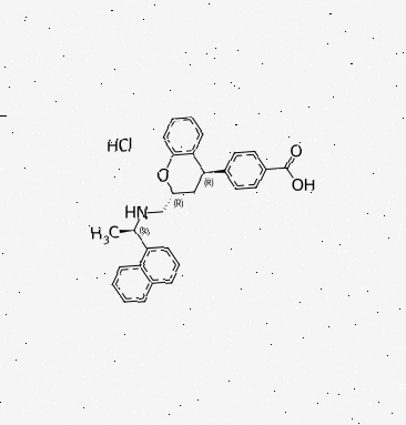 C[C@@H](NC[C@H]1C[C@H](c2ccc(C(=O)O)cc2)c2ccccc2O1)c1cccc2ccccc12.Cl